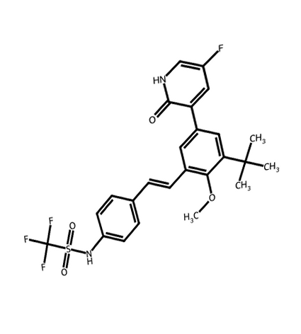 COc1c(C=Cc2ccc(NS(=O)(=O)C(F)(F)F)cc2)cc(-c2cc(F)c[nH]c2=O)cc1C(C)(C)C